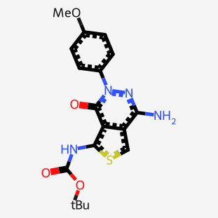 COc1ccc(-n2nc(N)c3csc(NC(=O)OC(C)(C)C)c3c2=O)cc1